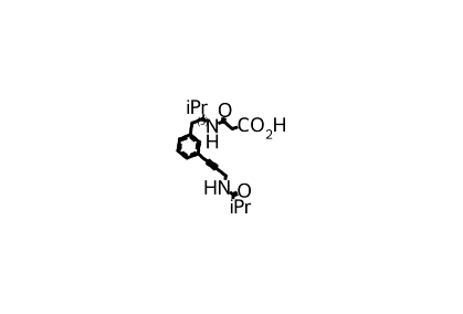 CC(C)C(=O)NCC#Cc1cccc(C[C@H](NC(=O)CC(=O)O)C(C)C)c1